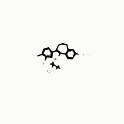 COc1ccc2c(c1)CCCC(c1ccc(Cl)c(F)c1)=C2B1OC(C)(C)C(C)(C)O1